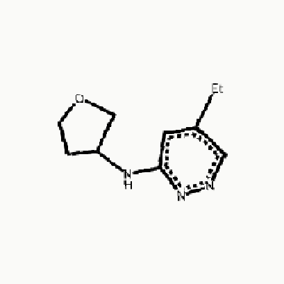 CCc1cnnc(NC2CCOC2)c1